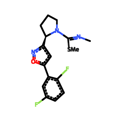 C/N=C(\SC)N1CCC[C@@H]1c1cc(-c2cc(F)ccc2F)on1